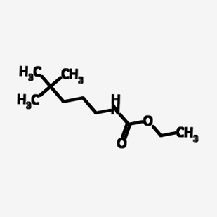 CCOC(=O)NCCCC(C)(C)C